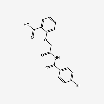 O=C(COc1ccccc1C(=O)O)NC(=O)c1ccc(Br)cc1